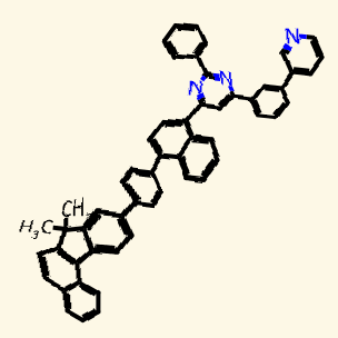 CC1(C)c2cc(-c3ccc(-c4ccc(-c5cc(-c6cccc(-c7cccnc7)c6)nc(-c6ccccc6)n5)c5ccccc45)cc3)ccc2-c2c1ccc1ccccc21